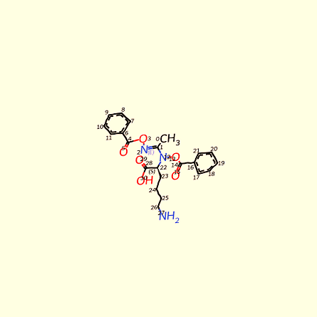 C/C(=N\OC(=O)c1ccccc1)N(OC(=O)c1ccccc1)[C@@H](CCCCN)C(=O)O